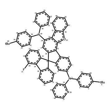 CC(C)(C)c1ccc(N(c2ccc3c(c2)C2(c4ccccc4-c4c(F)cccc42)c2cc(N(c4ccccc4)c4ccc(C(C)(C)C)cc4)c4c(oc5ccccc54)c2-3)c2ccccn2)cc1